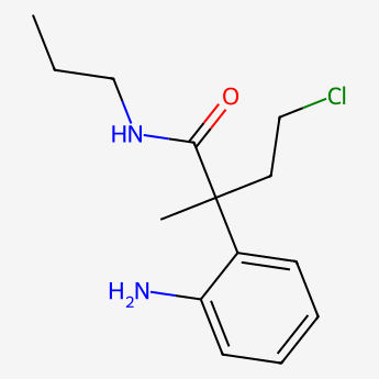 CCCNC(=O)C(C)(CCCl)c1ccccc1N